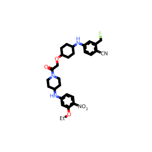 CCOc1cc(NC2CCN(C(=O)COC3CCC(Nc4ccc(C#N)c(CF)c4)CC3)CC2)ccc1[N+](=O)[O-]